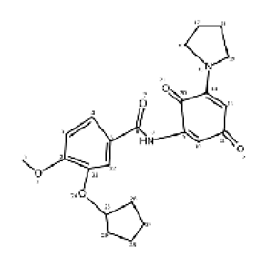 COc1ccc(C(=O)NC2=CC(=O)C=C(N3CCCC3)C2=O)cc1OC1CCCC1